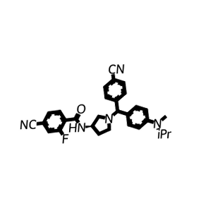 CC(C)N(C)c1ccc(C(c2ccc(C#N)cc2)N2CC[C@@H](NC(=O)c3ccc(C#N)cc3F)C2)cc1